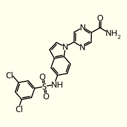 NC(=O)c1cnc(-n2ccc3cc(NS(=O)(=O)c4cc(Cl)cc(Cl)c4)ccc32)cn1